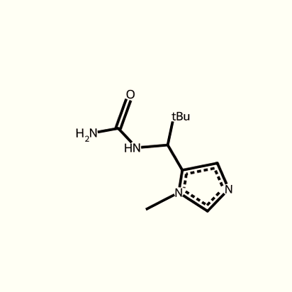 Cn1cncc1C(NC(N)=O)C(C)(C)C